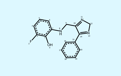 Oc1c(F)cccc1NCC1=NCN=C1c1ccccc1